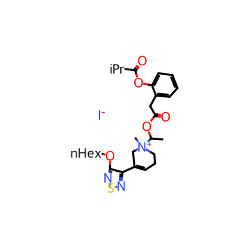 CCCCCCOc1nsnc1C1=CCC[N+](C)(C(C)OC(=O)Cc2ccccc2OC(=O)C(C)C)C1.[I-]